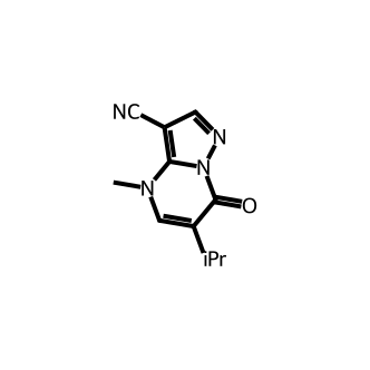 CC(C)c1cn(C)c2c(C#N)cnn2c1=O